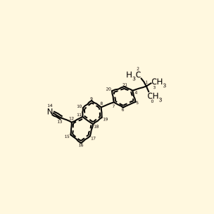 CC(C)(C)c1ccc(-c2ccc3c(C#N)cccc3c2)cc1